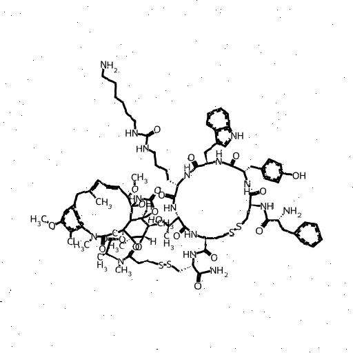 COc1cc2cc(c1Cl)N(C)C(=O)C[C@@]1(OC(=O)[C@H](C)N(C)C(=O)CCSSC[C@H](NC(=O)[C@@H]3CSSC[C@H](NC(=O)[C@H](N)Cc4ccccc4)C(=O)N[C@@H](Cc4ccc(O)cc4)C(=O)N[C@H](Cc4c[nH]c5ccccc45)C(=O)N[C@@H](CCCCNC(=O)NCCCCCCN)C(=O)N[C@@H]([C@@H](C)O)C(=O)N3)C(N)=O)C3[C@H](OC(=O)N[C@@]3(O)[C@H](OC)/C=C/C=C(\C)C2)[C@@H](C)[C@@H]2O[C@]21C